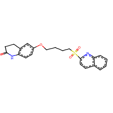 O=C1CCc2cc(OCCCCS(=O)(=O)c3ccc4ccccc4n3)ccc2N1